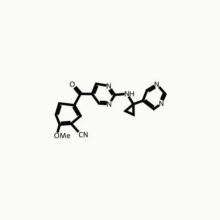 COc1ccc(C(=O)c2cnc(NC3(c4cncnc4)CC3)nc2)cc1C#N